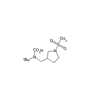 CC(C)(C)N(CC1CCN(S(C)(=O)=O)C1)C(=O)O